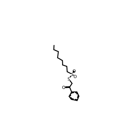 CCCCCCCCS(=O)(=O)SCC(=O)c1ccccc1